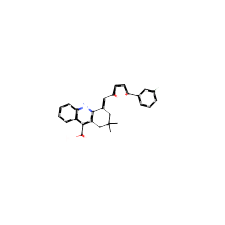 CC1(C)C/C(=C\c2ccc(-c3cccc(Cl)c3)o2)c2nc3ccccc3c(C(=O)O)c2C1